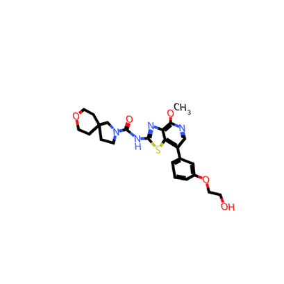 COc1ncc(-c2cccc(OCCO)c2)c2sc(NC(=O)N3CCC4(CCOCC4)C3)nc12